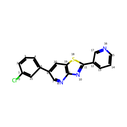 Clc1cccc(-c2cnc3nc(-c4cccnc4)sc3c2)c1